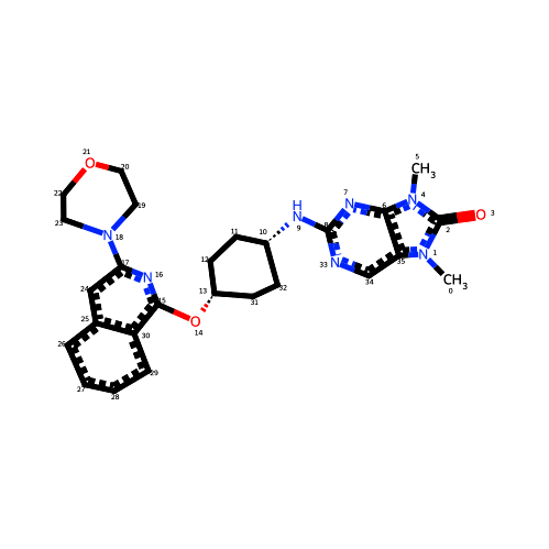 Cn1c(=O)n(C)c2nc(N[C@H]3CC[C@@H](Oc4nc(N5CCOCC5)cc5ccccc45)CC3)ncc21